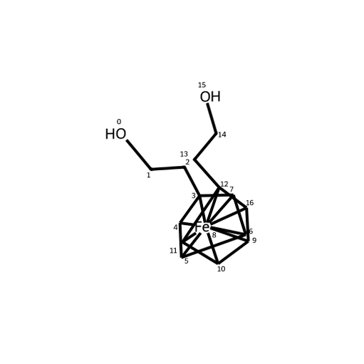 OCC[C]12[CH]3[CH]4[CH]5[CH]1[Fe]45321678[CH]2[CH]1[CH]6[C]7(CCO)[CH]28